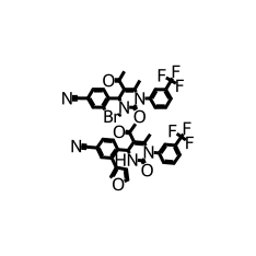 CC(=O)C1=C(C)N(c2cccc(C(F)(F)F)c2)C(=O)N(C)C1c1ccc(C#N)cc1Br.CC(=O)C1=C(C)N(c2cccc(C(F)(F)F)c2)C(=O)NC1c1ccc(C#N)cc1-c1ccoc1